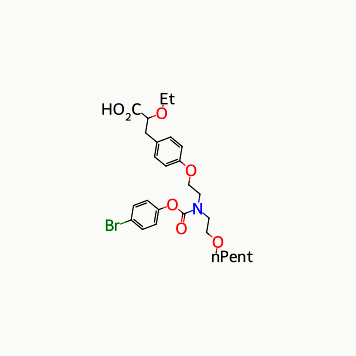 CCCCCOCCN(CCOc1ccc(CC(OCC)C(=O)O)cc1)C(=O)Oc1ccc(Br)cc1